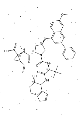 C=CC1C[C@]1(NC(=O)[C@@H]1C[C@@H](Oc2cc(-c3ccccc3)nc3cc(OC)ccc23)CN1C(=O)N[C@H](C(=O)NC1c2ccsc2CC[C@H]1O)C(C)(C)C)C(=O)O